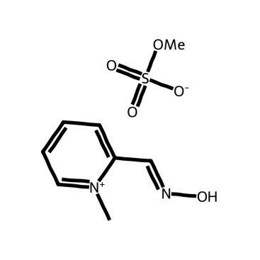 COS(=O)(=O)[O-].C[n+]1ccccc1C=NO